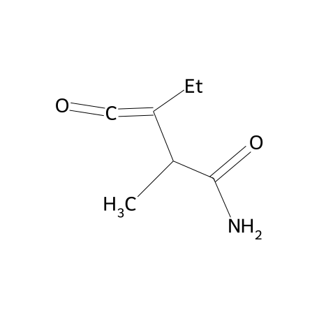 CCC(=C=O)C(C)C(N)=O